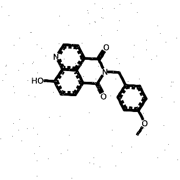 COc1ccc(CN2C(=O)c3ccnc4c(O)ccc(c34)C2=O)cc1